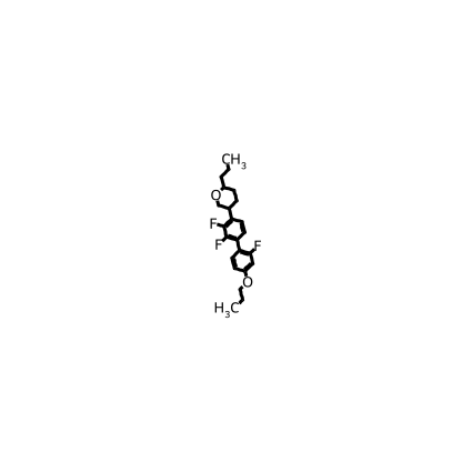 CCCOc1ccc(-c2ccc(C3CCC(CCC)OC3)c(F)c2F)c(F)c1